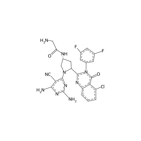 N#Cc1c(N)nc(N)nc1N1C[C@H](NC(=O)CN)CC1c1nc2cccc(Cl)c2c(=O)n1-c1cc(F)cc(F)c1